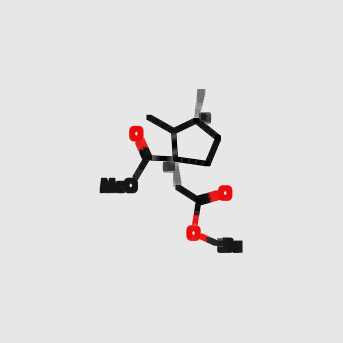 COC(=O)[C@]1(CC(=O)OC(C)(C)C)CC[C@@H](C)C1C